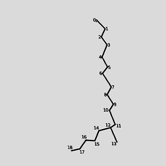 [CH2]CCCCCCCCCCCC(C)CCCCC